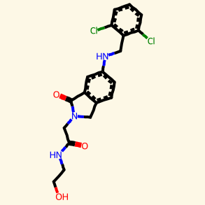 O=C(CN1Cc2ccc(NCc3c(Cl)cccc3Cl)cc2C1=O)NCCO